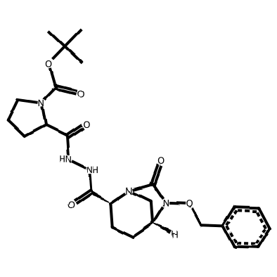 CC(C)(C)OC(=O)N1CCCC1C(=O)NNC(=O)[C@@H]1CC[C@@H]2CN1C(=O)N2OCc1ccccc1